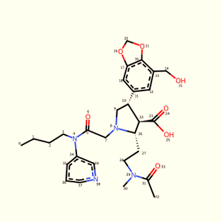 CCCCN(C(=O)CN1C[C@H](c2cc(CO)c3c(c2)OCO3)[C@@H](C(=O)O)[C@@H]1CCN(C)C(C)=O)c1cccnc1